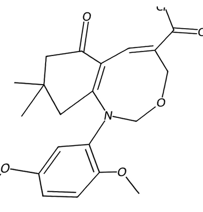 COc1ccc(OC)c(N2COC/C(C(=O)Cl)=C\C3=C2CC(C)(C)CC3=O)c1